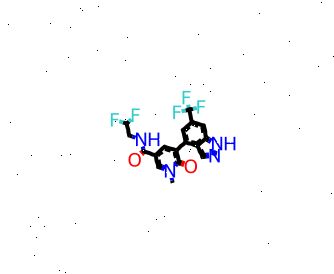 Cn1cc(C(=O)NCC(F)F)cc(-c2cc(C(F)(F)F)cc3[nH]ncc23)c1=O